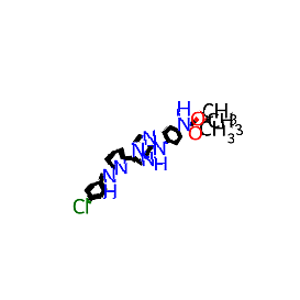 CC(C)(C)OC(=O)NC1CCC(Nc2nccn3c(-c4cccc(NCc5ccc(Cl)cc5)n4)cnc23)CC1